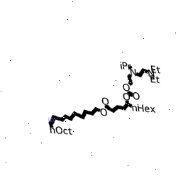 CCCCCCCC/C=C\CCCCCCCCOC(=O)CCCC(CCCCCC)OC(=O)OCCN(CCN(CC)CC)C(C)C